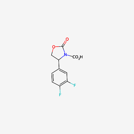 O=C(O)N1C(=O)OCC1c1ccc(F)c(F)c1